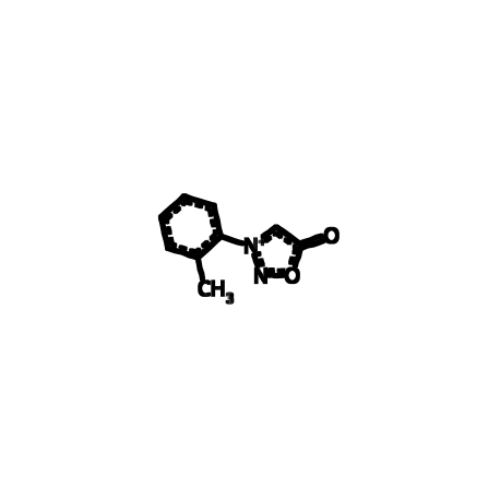 Cc1ccccc1-[n+]1cc(=O)o[n-]1